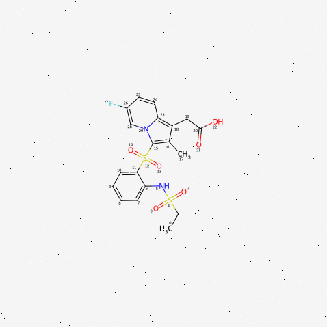 CCS(=O)(=O)Nc1ccccc1S(=O)(=O)c1c(C)c(CC(=O)O)c2ccc(F)cn12